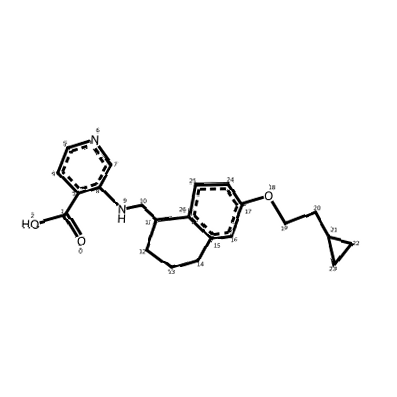 O=C(O)c1ccncc1NCC1CCCc2cc(OCCC3CC3)ccc21